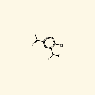 CC(=O)c1cnc(Cl)c(C(F)F)c1